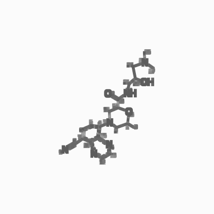 CC1CN(c2ccc(C#N)c3nccnc23)CC(C(=O)NCC(O)CN(C)C)O1